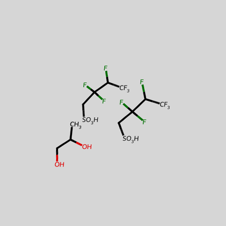 CC(O)CO.O=S(=O)(O)CC(F)(F)C(F)C(F)(F)F.O=S(=O)(O)CC(F)(F)C(F)C(F)(F)F